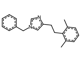 Cc1cccc(C)c1CCc1cn(Cc2ccccc2)cn1